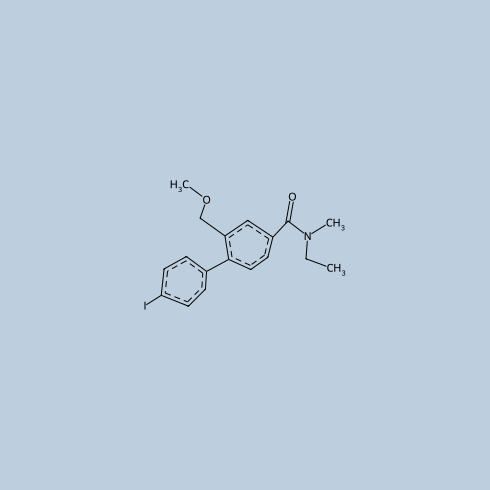 CCN(C)C(=O)c1ccc(-c2ccc(I)cc2)c(COC)c1